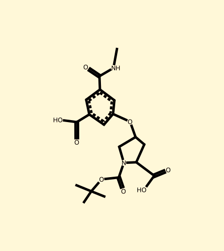 CNC(=O)c1cc(OC2CC(C(=O)O)N(C(=O)OC(C)(C)C)C2)cc(C(=O)O)c1